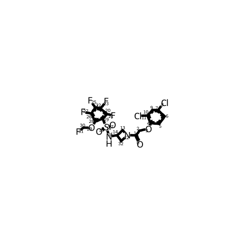 O=C(COc1ccc(Cl)cc1Cl)N1CC(NS(=O)(=O)c2c(F)c(F)c(F)c(F)c2OCF)C1